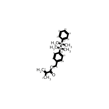 C=C(C)C(=O)OCc1ccc([Si](C)(C)[Si](C)(C)c2ccccc2)cc1